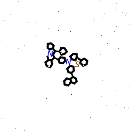 c1ccc(-c2c3ccccc3n3cc4ccccc4c(-c4ccc(N(c5ccc(-c6cccc7ccccc67)cc5)c5cccc6c5sc5ccccc56)cc4)c23)cc1